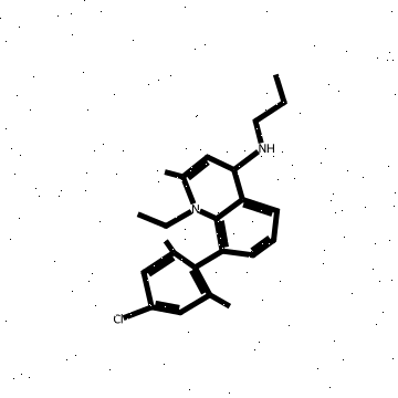 CCCNC1C=C(C)N(CC)c2c(-c3c(C)cc(Cl)cc3C)cccc21